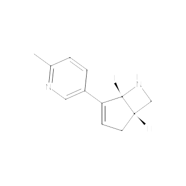 Cc1ccc(C2=CC[C@H]3CN[C@@H]23)cn1